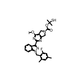 Cc1cc(C)c(Cn2nc(-c3nc4c(c(OI)n3)CN(C(=O)OC(C)(C)S)C4)c3ccccc32)c(F)c1